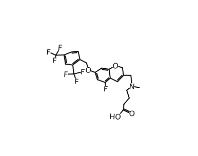 CN(CCCC(=O)O)CC1=Cc2c(F)cc(OCc3ccc(C(F)(F)F)cc3C(F)(F)F)cc2OC1